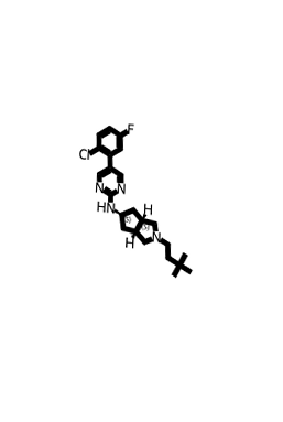 CC(C)(C)CCN1C[C@H]2C[C@H](Nc3ncc(-c4cc(F)ccc4Cl)cn3)C[C@H]2C1